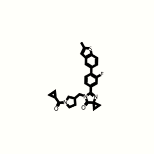 Cc1cc2cc(-c3ccc(C4=NC5(CC5)C(=O)N4CC4CCN(C(=O)C5CC5)C4)cc3F)ccc2s1